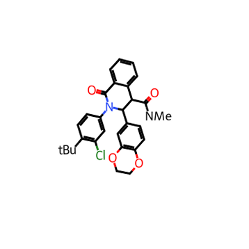 CNC(=O)C1c2ccccc2C(=O)N(c2ccc(C(C)(C)C)c(Cl)c2)C1c1ccc2c(c1)OCCO2